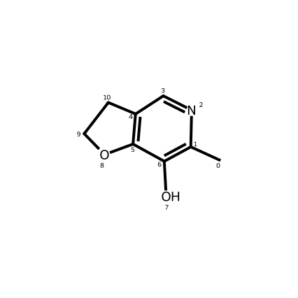 Cc1ncc2c(c1O)OCC2